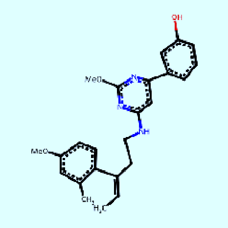 C/C=C(/CCNc1cc(-c2cccc(O)c2)nc(OC)n1)c1ccc(OC)cc1C